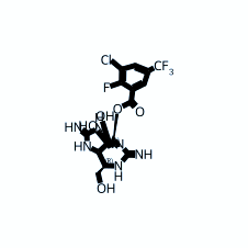 N=C1NC2[C@H](CO)NC(=N)N3C[C@H](OC(=O)c4cc(C(F)(F)F)cc(Cl)c4F)C(O)(O)[C@]23N1